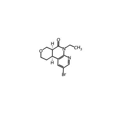 CCN1C(=O)[C@@H]2COCC[C@@H]2c2cc(Br)cnc21